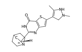 CC1=C(c2cc3nc([C@H]4CC5CCN4CC5)[nH]c(=O)c3s2)CN(C)N1